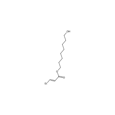 CCC=CC(=O)OCCCCCCCCO